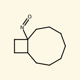 O=NC12CCCCCCCC1CC2